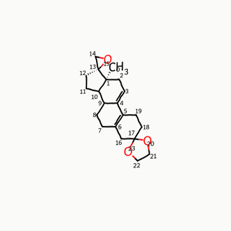 C[C@]12CC=C3C4=C(CCC3C1CC[C@@]21CO1)CC1(CC4)OCCO1